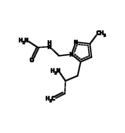 C=CC(N)Cc1cc(C)nn1CNC(N)=O